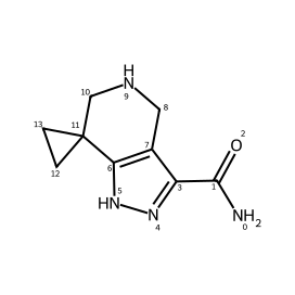 NC(=O)c1n[nH]c2c1CNCC21CC1